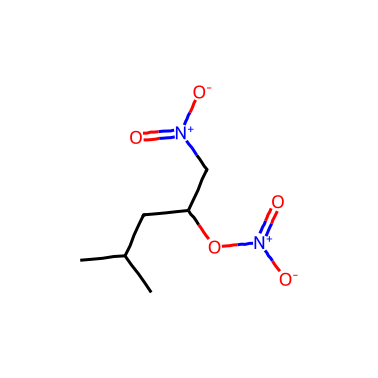 CC(C)CC(C[N+](=O)[O-])O[N+](=O)[O-]